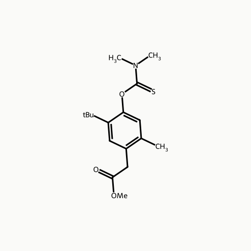 COC(=O)Cc1cc(C(C)(C)C)c(OC(=S)N(C)C)cc1C